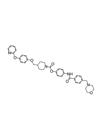 O=C(Nc1ccc(OC(=O)N2CCC(COc3ccc(Oc4ccccn4)cc3)CC2)cc1)c1ccc(CN2CCOCC2)cc1